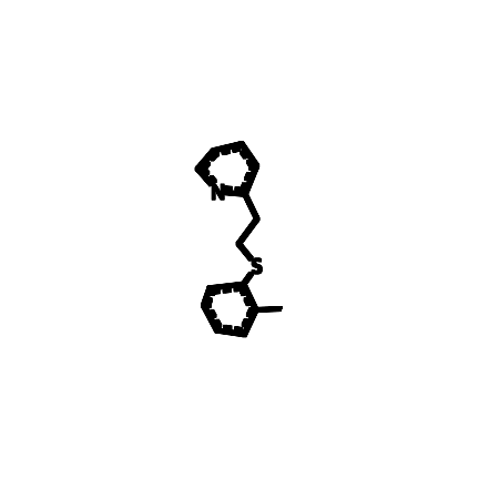 Cc1ccccc1SCCc1ccccn1